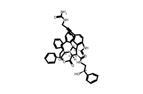 NC(=O)NCC#Cc1ccc2c(c1)[C@]1(C(=O)N2)[C@H](c2ccccc2OCCO)N2[C@H](c3ccccc3)[C@H](c3ccccc3)OC(=O)[C@H]2[C@@H]1C(=O)NC[C@H](O)c1ccccc1